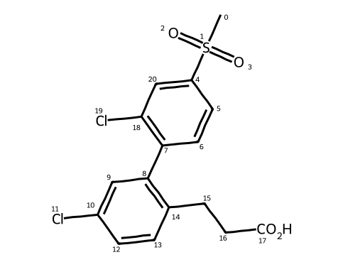 CS(=O)(=O)c1ccc(-c2cc(Cl)ccc2CCC(=O)O)c(Cl)c1